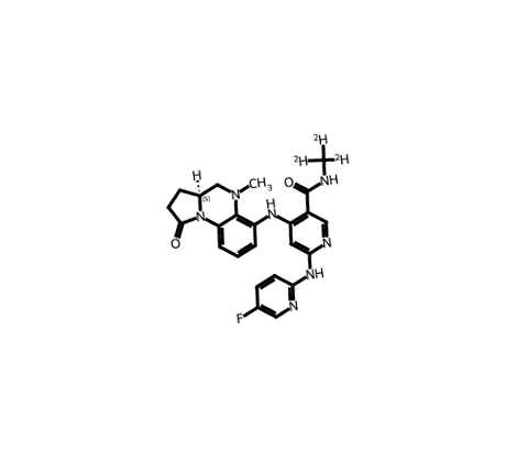 [2H]C([2H])([2H])NC(=O)c1cnc(Nc2ccc(F)cn2)cc1Nc1cccc2c1N(C)C[C@@H]1CCC(=O)N21